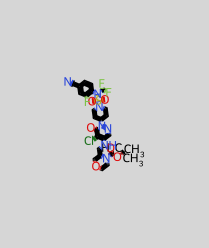 CC(C)(C)OC(=O)N1CCOCC1CNc1cnn(C2CCN(S(=O)(=O)N(c3ccc(C#N)cc3F)C(F)F)CC2)c(=O)c1Cl